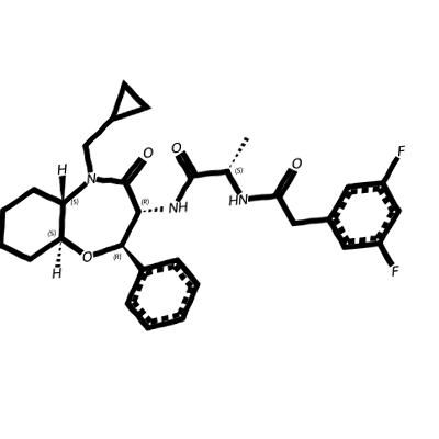 C[C@H](NC(=O)Cc1cc(F)cc(F)c1)C(=O)N[C@H]1C(=O)N(CC2CC2)[C@H]2CCCC[C@@H]2O[C@@H]1c1ccccc1